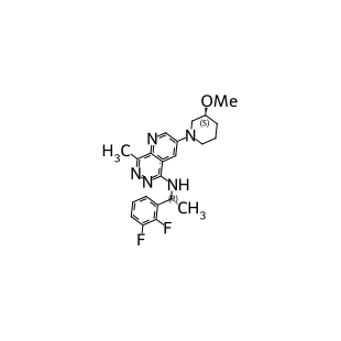 CO[C@H]1CCCN(c2cnc3c(C)nnc(N[C@H](C)c4cccc(F)c4F)c3c2)C1